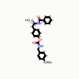 COc1ccc(CNC(=O)Oc2ccc(C[C@H](NC(=O)c3ccccc3)C(=O)O)cc2)cc1